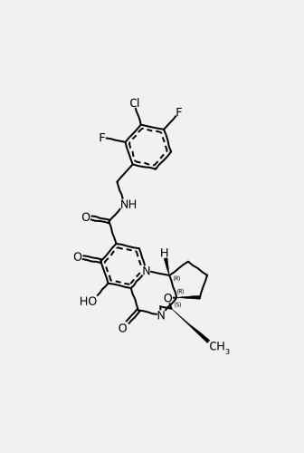 C[C@H]1CN2C(=O)c3c(O)c(=O)c(C(=O)NCc4ccc(F)c(Cl)c4F)cn3[C@@H]3CCC[C@@]32O1